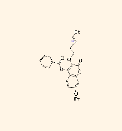 CC/C=C/CCOc1c(OC(=O)c2ccccc2)c2ccc(OC(C)C)cc2oc1=O